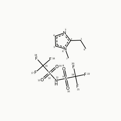 CCc1nccn1C.O=S(=O)(NS(=O)(=O)C(F)(F)F)C(F)(F)F